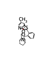 Cc1ccc(OCC2CC3CCC2N3C(=O)c2ccccc2-c2cccs2)nc1